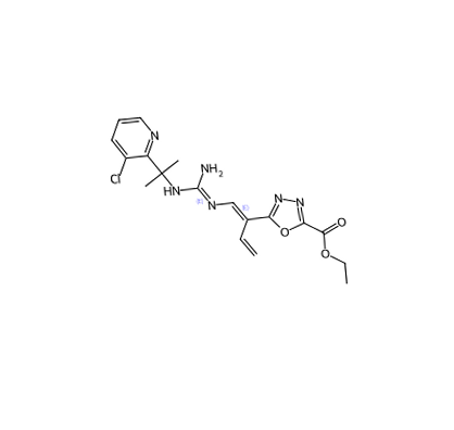 C=C/C(=C\N=C(/N)NC(C)(C)c1ncccc1Cl)c1nnc(C(=O)OCC)o1